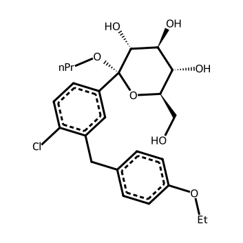 CCCO[C@@]1(c2ccc(Cl)c(Cc3ccc(OCC)cc3)c2)O[C@H](CO)[C@@H](O)[C@H](O)[C@H]1O